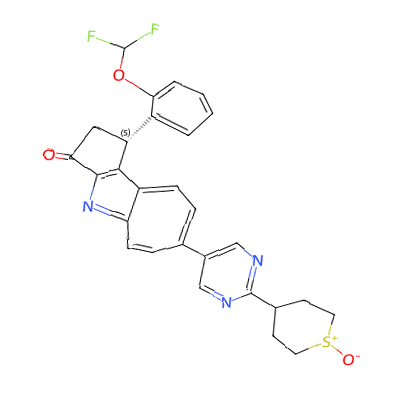 O=C1C[C@H](c2ccccc2OC(F)F)c2c3ccc(-c4cnc(C5CC[S+]([O-])CC5)nc4)ccc-3nc21